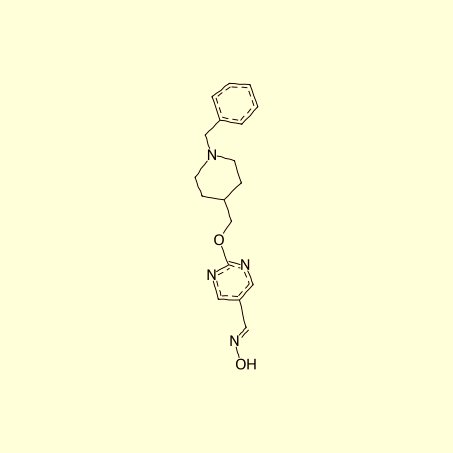 O/N=C/c1cnc(OCC2CCN(Cc3ccccc3)CC2)nc1